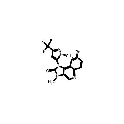 Cn1nc(C(F)(F)F)cc1-n1c(=O)n(C)c2cnc3ccc(Br)cc3c21